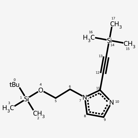 CC(C)(C)[Si](C)(C)OCCn1ccnc1C#C[Si](C)(C)C